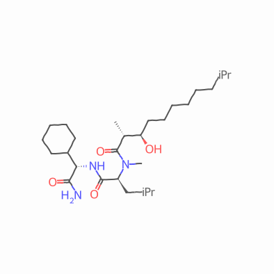 CC(C)CCCCCC[C@@H](O)[C@@H](C)C(=O)N(C)[C@@H](CC(C)C)C(=O)N[C@H](C(N)=O)C1CCCCC1